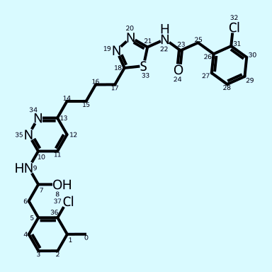 CC1CC=CC(CC(O)Nc2ccc(CCCCc3nnc(NC(=O)Cc4ccccc4Cl)s3)nn2)=C1Cl